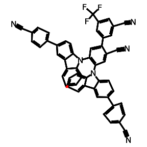 N#Cc1ccc(-c2ccc3c(c2)c2ccccc2n3-c2cc(C#N)c(-c3cc(C#N)cc(C(F)(F)F)c3)cc2-n2c3ccccc3c3cc(-c4ccc(C#N)cc4)ccc32)cc1